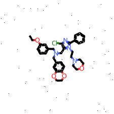 CCOc1cccc(CN(Cc2ccc3c(c2)OCCO3)Cc2c(Cl)nc(-c3ccccc3)n2CCN2CCOCC2)c1